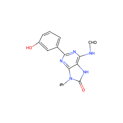 CC(C)n1c(=O)[nH]c2c(NC=O)nc(-c3cccc(O)c3)nc21